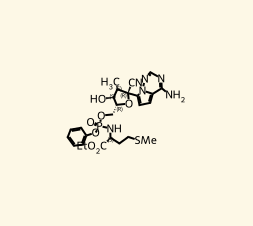 CCOC(=O)[C@H](CCSC)NP(=O)(OC[C@H]1O[C@@](C#N)(c2ccc3c(N)ncnn23)[C@@H](C)[C@@H]1O)Oc1ccccc1